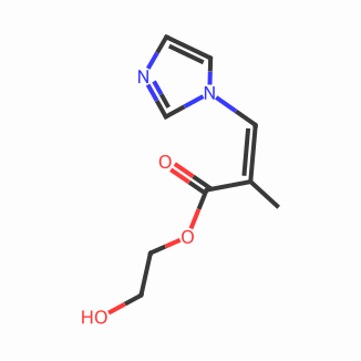 CC(=Cn1ccnc1)C(=O)OCCO